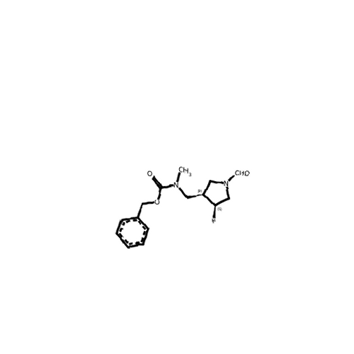 CN(C[C@H]1CN(C=O)C[C@H]1F)C(=O)OCc1ccccc1